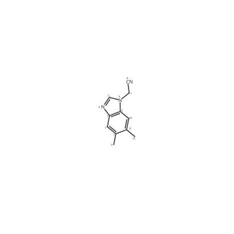 Cc1cc2ncn(CC#N)c2cc1C